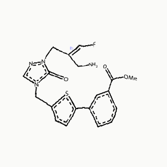 COC(=O)c1cccc(-c2ccc(Cn3cnn(C/C(=C/F)CN)c3=O)s2)c1